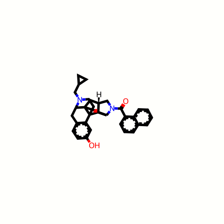 O=C(c1cccc2ccccc12)N1C[C@H]2CC34CCC1C2C31CCN(CC2CC2)C4Cc2ccc(O)cc21